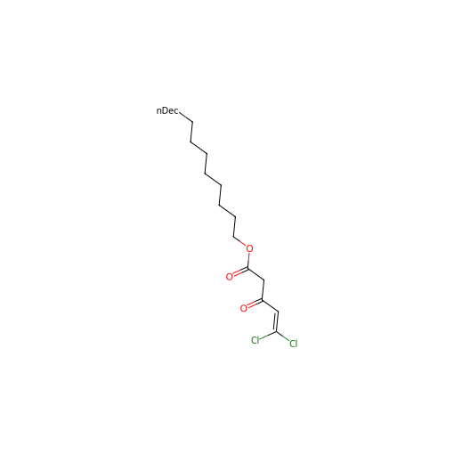 CCCCCCCCCCCCCCCCCCOC(=O)CC(=O)C=C(Cl)Cl